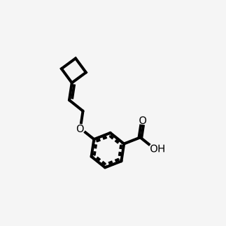 O=C(O)c1cccc(OCC=C2CCC2)c1